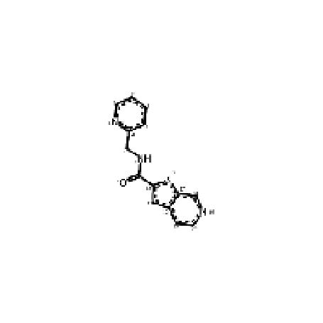 O=C(NCc1ccccn1)c1cc2ccncc2s1